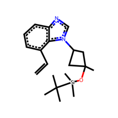 C=Cc1cccc2ncn(C3CC(C)(O[Si](C)(C)C(C)(C)C)C3)c12